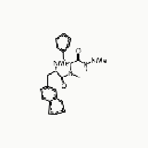 CN[C@H](Cc1ccc2ccccc2c1)C(=O)N(C)[C@H](Cc1ccccc1)C(=O)N(C)NC